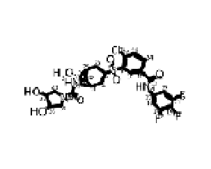 C[C@H]1CC2CC(S(=O)(=O)c3cc(C(=O)Nc4cc(F)c(F)c(F)c4)ccc3Cl)CC1C2NC(=O)N1CC(O)C(O)C1